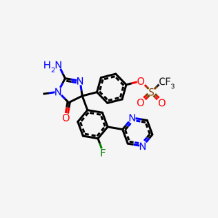 CN1C(=O)C(c2ccc(OS(=O)(=O)C(F)(F)F)cc2)(c2ccc(F)c(-c3cnccn3)c2)N=C1N